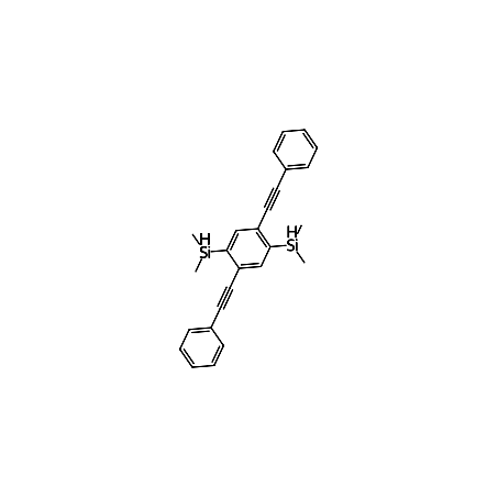 C[SiH](C)c1cc(C#Cc2ccccc2)c([SiH](C)C)cc1C#Cc1ccccc1